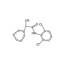 N#CC(C(=O)Nc1c(Cl)cccc1Cl)c1ccccc1